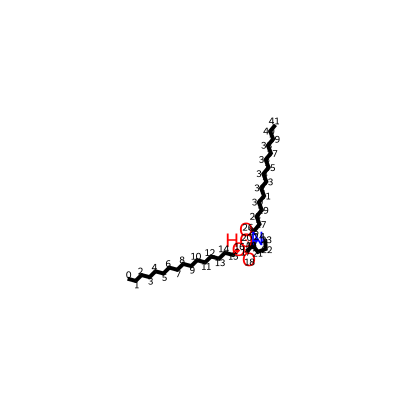 CCCCCCCCCCCCCCCCOC(=O)[C@]1(O)CCCN1C(=O)CCCCCCCCCCCCCCC